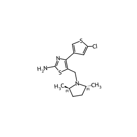 C[C@@H]1CC[C@@H](C)N1Cc1sc(N)nc1-c1csc(Cl)c1